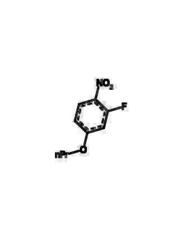 C[CH]COc1ccc([N+](=O)[O-])c(F)c1